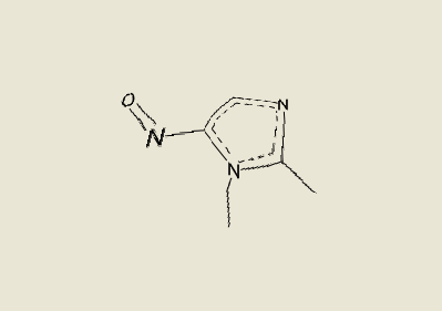 Cc1ncc(N=O)n1C